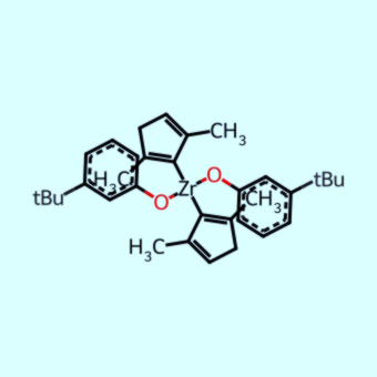 CC1=CCC(C)=[C]1[Zr]([O]c1cccc(C(C)(C)C)c1)([O]c1cccc(C(C)(C)C)c1)[C]1=C(C)CC=C1C